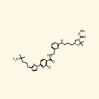 CC(C)(C)OC(=O)N1CC(CCCNc2cccc(SNC(=O)c3ccc(-n4ccc(OCCC(C)(C)C(F)(F)F)n4)nc3Cl)n2)CC1(C)C